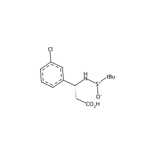 CC(C)(C)[S+]([O-])N[C@H](CC(=O)O)c1cccc(Cl)c1